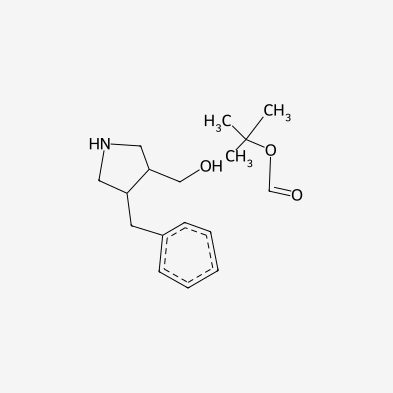 CC(C)(C)OC=O.OCC1CNCC1Cc1ccccc1